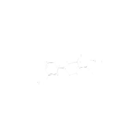 COc1cncc(N2CCN(C(=O)OC(C)(C)C)C(C)C2)n1